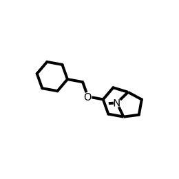 CN1C2CCC1CC(OCC1CCCCC1)C2